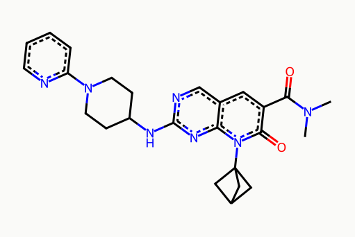 CN(C)C(=O)c1cc2cnc(NC3CCN(c4ccccn4)CC3)nc2n(C23CC(C2)C3)c1=O